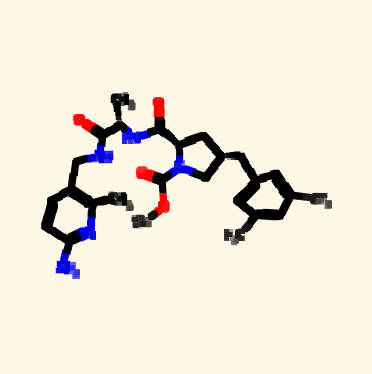 Cc1nc(N)ccc1CNC(=O)[C@H](C)NC(=O)[C@H]1C[C@H](Cc2cc(C(F)(F)F)cc(C(F)(F)F)c2)CN1C(=O)OC(C)(C)C